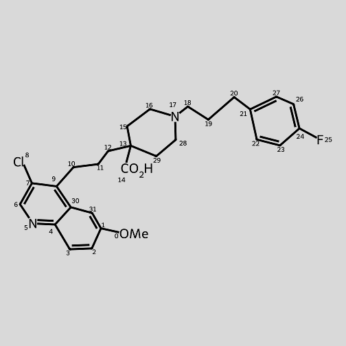 COc1ccc2ncc(Cl)c(CCCC3(C(=O)O)CCN(CCCc4ccc(F)cc4)CC3)c2c1